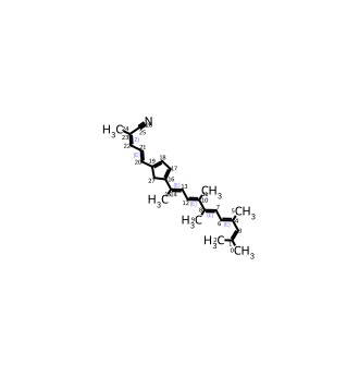 CC(C)=C/C(C)=C/C=C(C)/C(C)=C/C=C(\C)C1=CC=C(/C=C/C=C(/C)C#N)C1